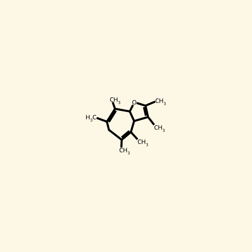 CC1=C(C)C2OC(C)=C(C)C2C(C)=C(C)C1